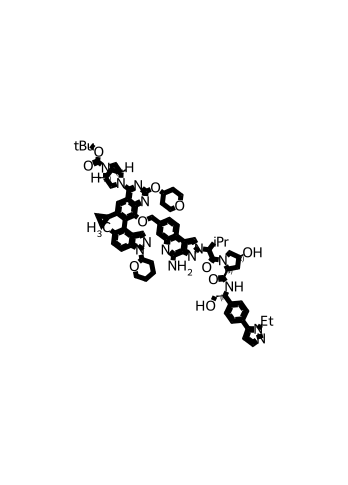 CCn1nccc1-c1ccc([C@H](CO)NC(=O)[C@@H]2C[C@@H](O)CN2C(=O)C(C(C)C)n2cc3c(n2)c(N)nc2cc(COc4c(-c5c(C)ccc6c5cnn6C5CCCCO5)c(C5CC5)cc5c(N6C[C@@H]7C[C@H]6CN7C(=O)OC(C)(C)C)nc(OC6CCOCC6)nc45)ccc23)cc1